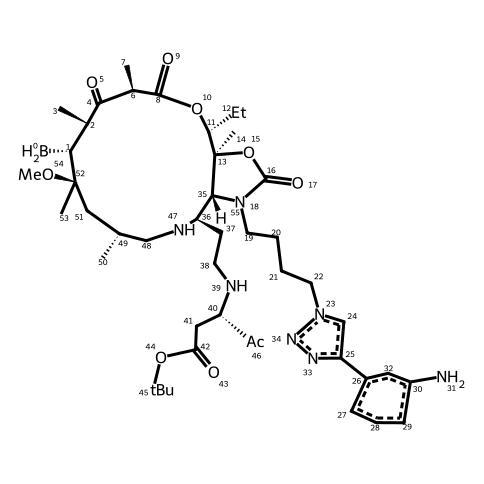 B[C@@H]1[C@@H](C)C(=O)[C@@H](C)C(=O)O[C@H](CC)[C@@]2(C)OC(=O)N(CCCCn3cc(-c4cccc(N)c4)nn3)[C@@H]2[C@@H](CCN[C@@H](CC(=O)OC(C)(C)C)C(C)=O)NC[C@H](C)C[C@@]1(C)OC